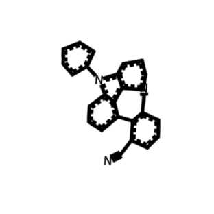 N#Cc1cccc(C#N)c1-c1cccc2c1c1ccccc1n2-c1ccccc1